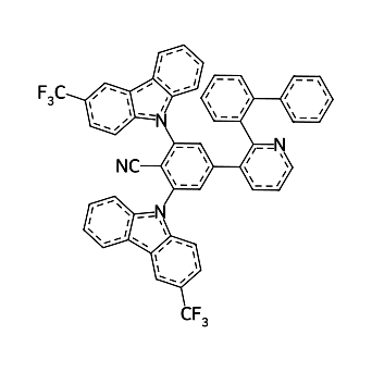 N#Cc1c(-n2c3ccccc3c3cc(C(F)(F)F)ccc32)cc(-c2cccnc2-c2ccccc2-c2ccccc2)cc1-n1c2ccccc2c2cc(C(F)(F)F)ccc21